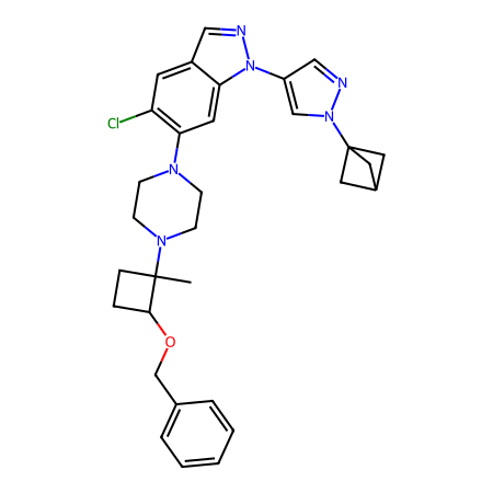 CC1(N2CCN(c3cc4c(cnn4-c4cnn(C56CC(C5)C6)c4)cc3Cl)CC2)CCC1OCc1ccccc1